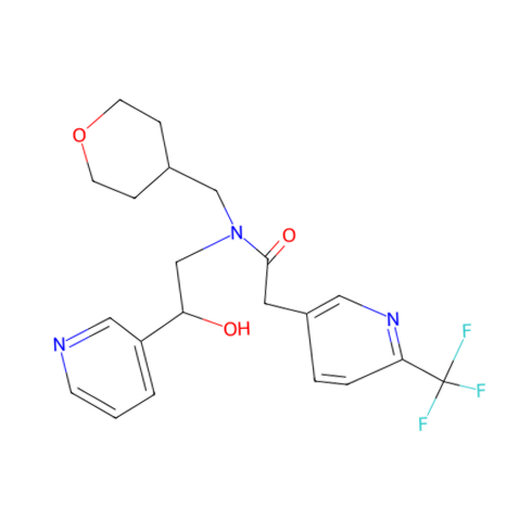 O=C(Cc1ccc(C(F)(F)F)nc1)N(CC1CCOCC1)CC(O)c1cccnc1